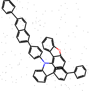 c1ccc(-c2ccc(-c3ccccc3N(c3ccc(-c4ccc5cc(-c6ccccc6)ccc5c4)cc3)c3cccc4oc5ccccc5c34)cc2)cc1